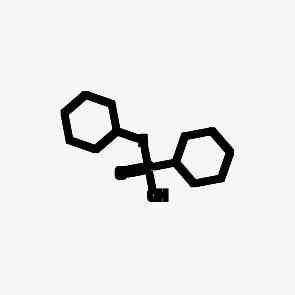 O=P(O)(SC1CCCCC1)C1CCCCC1